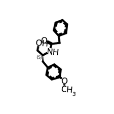 COc1ccc(C[C@@H](CO)NC(=O)Cc2ccccc2)cc1